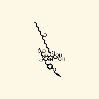 CC#CCOc1ccc(C[C@H](NC(=O)[C@@H](C=CCCCCCCC(=O)CCCCCCC)[C@@](O)(CCO)C(=O)O)C(=O)NCC(=O)OC)cc1